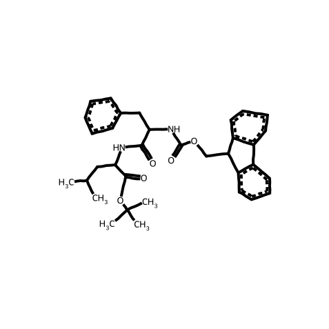 CC(C)CC(NC(=O)C(Cc1ccccc1)NC(=O)OCC1c2ccccc2-c2ccccc21)C(=O)OC(C)(C)C